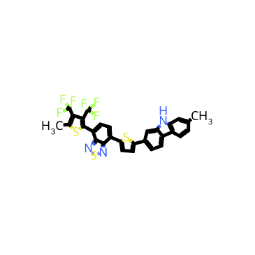 Cc1ccc2c(c1)[nH]c1cc(-c3ccc(-c4ccc(-c5sc(C)c(C(F)(F)F)c5C(F)(F)F)c5nsnc45)s3)ccc12